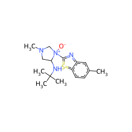 Cc1ccc2sc([N+]3([O-])CN(C)CC3NC(C)(C)C)nc2c1